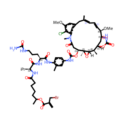 C=C(CBr)C(=O)OC(C)CCCCC(=O)N[C@H](C(=O)N[C@@H](CCCNC(N)=O)C(=O)Nc1ccc(NC(=O)O[C@H]2CC(=O)N(C)c3cc(cc(OC)c3Cl)C/C(C)=C/C=C/[C@@H](OC)[C@@]3(O)C[C@H](OC(=O)N3)[C@@H](C)[C@@H]3O[C@@]23C)cc1C)C(C)C